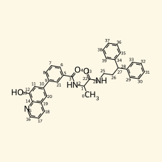 CC(NC(=O)c1cccc(-c2cc(O)c3ncccc3c2)c1)C(=O)NCCC(c1ccccc1)c1ccccc1